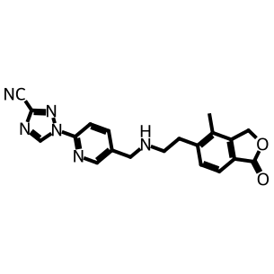 Cc1c(CCNCc2ccc(-n3cnc(C#N)n3)nc2)ccc2c1COC2=O